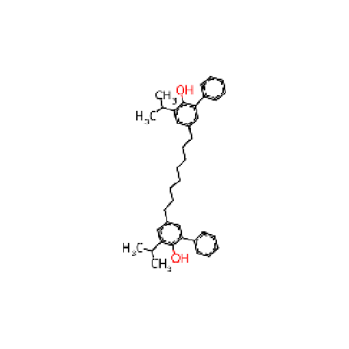 CC(C)c1cc(CCCCCCCCc2cc(-c3ccccc3)c(O)c(C(C)C)c2)cc(-c2ccccc2)c1O